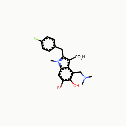 CN(C)Cc1c(O)c(Br)cc2c1c(C(=O)O)c(Cc1ccc(F)cc1)n2C